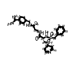 N=C(N)c1ccc(CNC(=O)CNC(=O)[C@@H](CNc2ccncc2)NS(=O)(=O)Cc2ccccc2)cc1